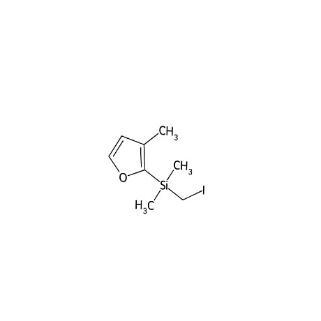 Cc1ccoc1[Si](C)(C)CI